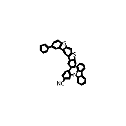 N#Cc1ccc(-c2ccc3sc4cc5sc6ccc(-c7ccccc7)cc6c5cc4c3c2)c(-n2c3ccccc3c3ccccc32)c1